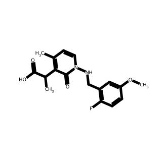 COc1ccc(F)c(CNn2ccc(C)c(C(C)C(=O)O)c2=O)c1